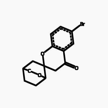 O=C1CC2(CC3CCC2OC3)Oc2ccc(Br)cc21